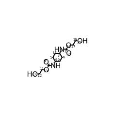 O=C(NC1CCC(NC(=O)OCCO)CC1)OCCO